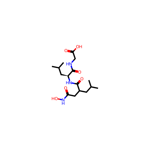 CC(C)CC(CC(=O)NO)C(=O)N[C@@H](CC(C)C)C(=O)NCC(=O)O